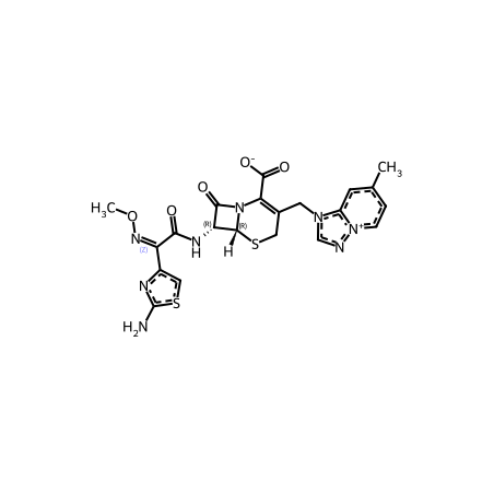 CO/N=C(\C(=O)N[C@@H]1C(=O)N2C(C(=O)[O-])=C(Cn3cn[n+]4ccc(C)cc34)CS[C@H]12)c1csc(N)n1